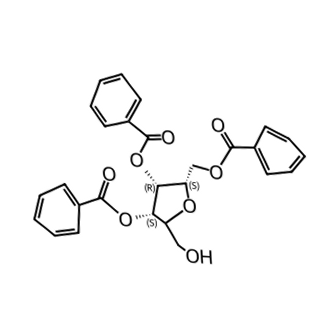 O=C(OC[C@@H]1OC(CO)[C@H](OC(=O)c2ccccc2)[C@@H]1OC(=O)c1ccccc1)c1ccccc1